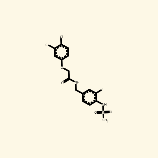 CS(=O)(=O)Nc1ccc(CNC(=O)COc2ccc(Cl)c(Cl)c2)cc1F